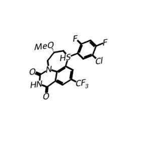 CO[C@H]1Cn2c(=O)[nH]c(=O)c3cc(C(F)(F)F)cc(c32)[SH](c2cc(Cl)c(F)cc2F)C1